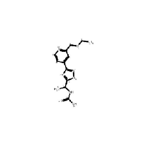 CCOCc1cc(-c2noc(C(C)NC(=O)O)n2)ccn1